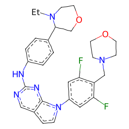 CCN1CCOCC1c1ccc(Nc2ncc3ccn(-c4cc(F)c(CN5CCOCC5)c(F)c4)c3n2)cc1